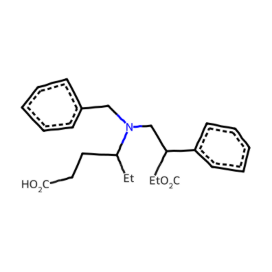 CCOC(=O)C(CN(Cc1ccccc1)C(CC)CCC(=O)O)c1ccccc1